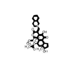 COC[C@H]1OC(=O)C(=CN2CCc3ccccc3C2)C2=C(O)C(=O)C3=C([C@H](OC(C)=O)C[C@@]4(C)C3CC[C@@H]4O)[C@]21C